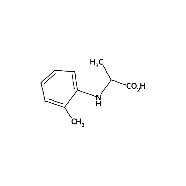 Cc1ccccc1NC(C)C(=O)O